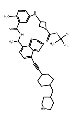 Cc1ccc(NC2CN(C(=O)OC(C)(C)C)C2)cc1C(=O)N[C@H](C)c1ccc(C#CC2CCN(CC3CCNCC3)CC2)c2ccccc12